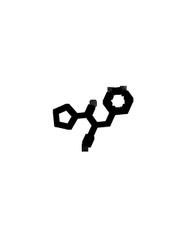 N#CC(Cc1ccnnc1)C(=O)C1CCCC1